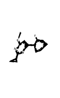 COc1cc(-c2ccccc2F)nc(C2CC2)n1